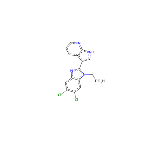 O=C(O)Cn1c(-c2c[nH]c3ncccc23)nc2cc(Cl)c(Cl)cc21